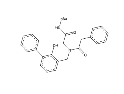 CCCCNC(=O)CN(Cc1cccc(-c2ccccc2)c1O)C(=O)Cc1ccccc1